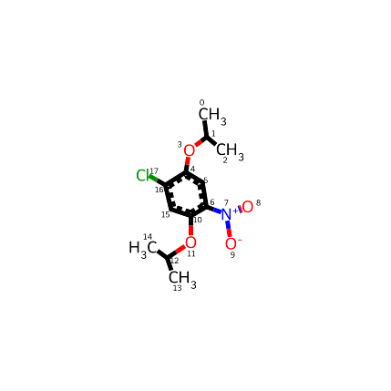 CC(C)Oc1cc([N+](=O)[O-])c(OC(C)C)cc1Cl